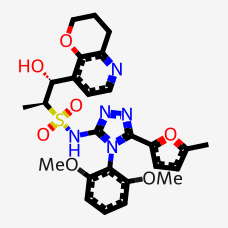 COc1cccc(OC)c1-n1c(NS(=O)(=O)[C@@H](C)[C@H](O)c2ccnc3c2OCCC3)nnc1-c1ccc(C)o1